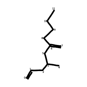 C=CCC(C)CC(=C)CCCC